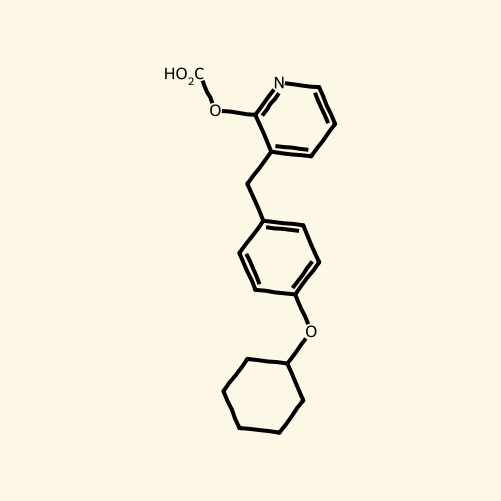 O=C(O)Oc1ncccc1Cc1ccc(OC2CCCCC2)cc1